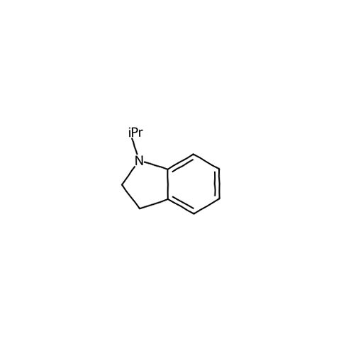 CC(C)N1CCc2ccccc21